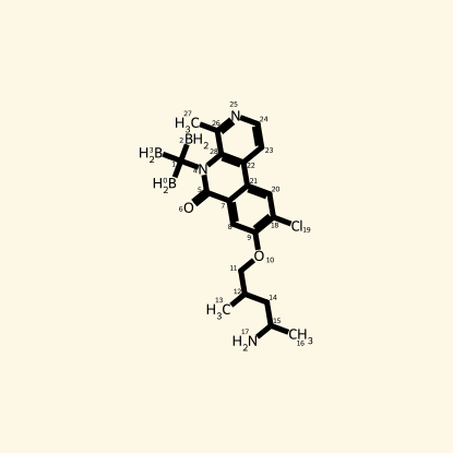 BC(B)(B)n1c(=O)c2cc(OCC(C)CC(C)N)c(Cl)cc2c2ccnc(C)c21